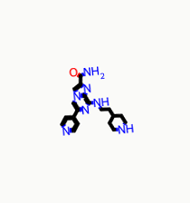 NC(=O)c1cn2cc(-c3ccncc3)nc(NCCC3CCNCC3)c2n1